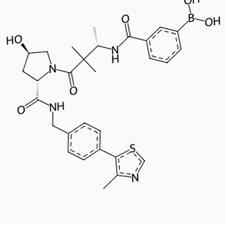 Cc1ncsc1-c1ccc(CNC(=O)[C@@H]2C[C@@H](O)CN2C(=O)C(C)(C)[C@H](C)NC(=O)c2cccc(B(O)O)c2)cc1